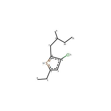 CCc1cc(Cl)c(CC(C)CC)s1